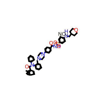 CC1(C)C2C=CC1(C(=O)N(c1ccccc1)c1ccccc1CN1CCN(c3ccc(C(=O)NS(=O)(=O)c4ccc(NCC5CCOCC5)c([N+](=O)[O-])c4)cc3)CC1)CC2